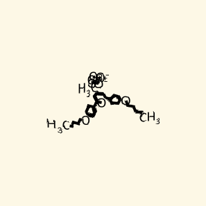 CCCCCOc1ccc(-c2cc(C)cc(-c3ccc(OCCCCC)cc3)[o+]2)cc1.[O-][Cl+3]([O-])([O-])[O-]